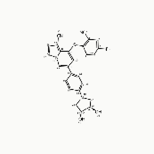 N#Cc1cc(F)ccc1Sc1cc(-c2ccc(N3C[C@@H](O)[C@@H](O)C3)nc2)cn2ncc(C#N)c12